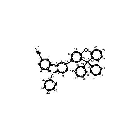 N#Cc1ccc2c(c1)c1cc(-c3ccc4c(c3)C(c3ccccc3)(c3ccccc3)c3ccccc3O4)ccc1n2-c1ccccn1